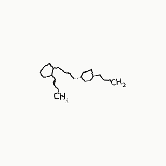 C=CCC[C@H]1CC[C@H](CCCCC2CCCCC2C=CCC)CC1